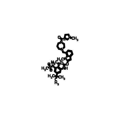 COc1c(NC(=O)Oc2cc3cccc(CN4CCCN(C(=O)[C@H]5CCN(C)C5)CC4)c3n2C)cc(C(C)(C)C)cc1NS(C)(=O)=O